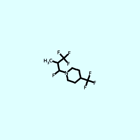 CC(C(F)N1CCC(C(F)(F)F)CC1)C(F)(F)F